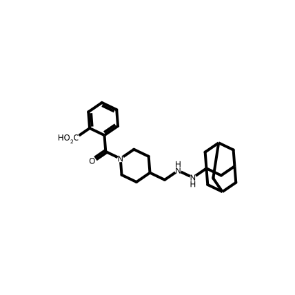 O=C(O)c1ccccc1C(=O)N1CCC(CNNC23CC4CC(CC(C4)C2)C3)CC1